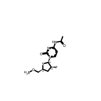 BOC[C@@H]1C[C@H](F)[C@H](n2ccc(NC(C)=O)nc2=O)S1